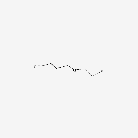 [CH2]CCCCCOCCF